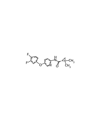 CC1(C)C[C@@H]1C(=O)Nc1ccc(Oc2ccc(F)c(F)c2)cn1